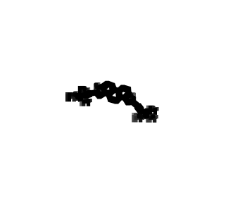 CC(C)[Si](C#Cc1cc2c(ccc3c2ccc2c4cc(C#C[Si](C(C)C)(C(C)C)C(C)C)sc4ccc23)s1)(C(C)C)C(C)C